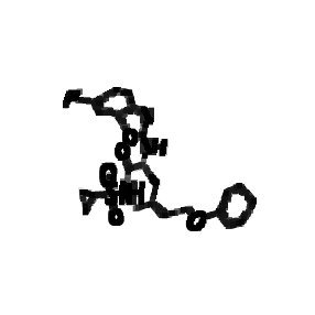 C/C(=C/COc1ccccc1)C[C@H](Nc1nc2ccc(F)cc2o1)C(=O)NS(=O)(=O)C1CC1